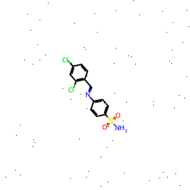 NS(=O)(=O)c1ccc(N=Cc2ccc(Cl)cc2Cl)cc1